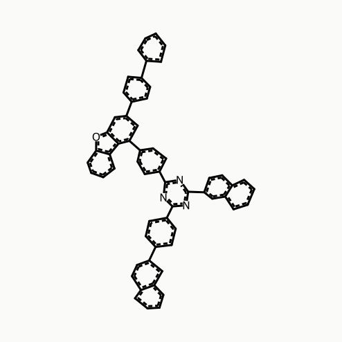 c1ccc(-c2ccc(-c3cc(-c4ccc(-c5nc(-c6ccc(-c7ccc8ccccc8c7)cc6)nc(-c6ccc7ccccc7c6)n5)cc4)c4c(c3)oc3ccccc34)cc2)cc1